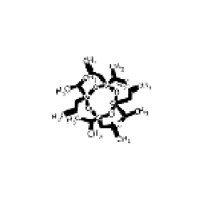 C=CC[Si]1(C(C)C)O[Si](CC=C)(C(C)C)O[Si](CC=C)(C(C)C)O[Si](CC=C)(C(C)C)O1